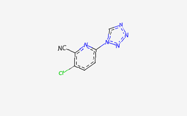 N#Cc1nc(-n2cnnn2)ccc1Cl